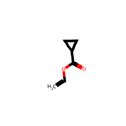 C=COC(=O)C1CC1